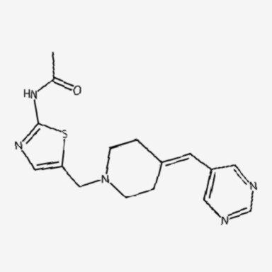 CC(=O)Nc1ncc(CN2CCC(=Cc3cncnc3)CC2)s1